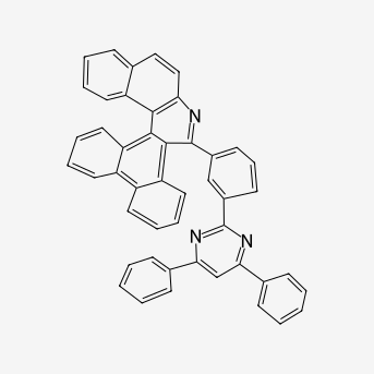 c1ccc(-c2cc(-c3ccccc3)nc(-c3cccc(-c4nc5ccc6ccccc6c5c5c6ccccc6c6ccccc6c45)c3)n2)cc1